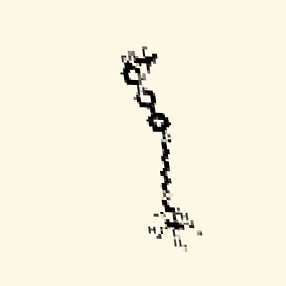 CC(NC(=O)COCCCCCCCOc1ccc(C2CCN(C3=Nn4c(nnc4C(F)(F)F)CC3)CC2)cc1)C(C)(C)C